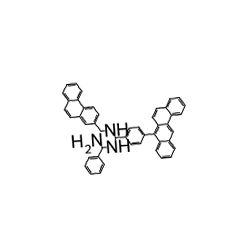 NC(NC(NCc1ccc2c(ccc3ccccc32)c1)c1ccc(-c2c3ccccc3cc3c2ccc2ccccc23)cc1)c1ccccc1